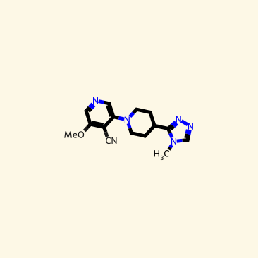 COc1cncc(N2CCC(c3nncn3C)CC2)c1C#N